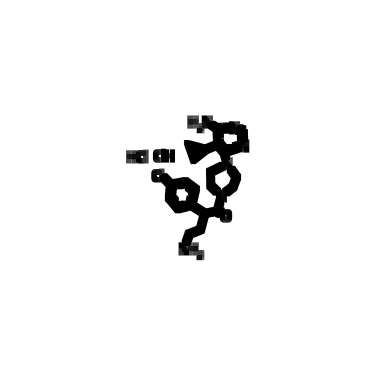 Cl.Cl.NCCC(C(=O)N1CCN(c2ncnc(N)c2C2CC2)CC1)c1ccc(Cl)cc1